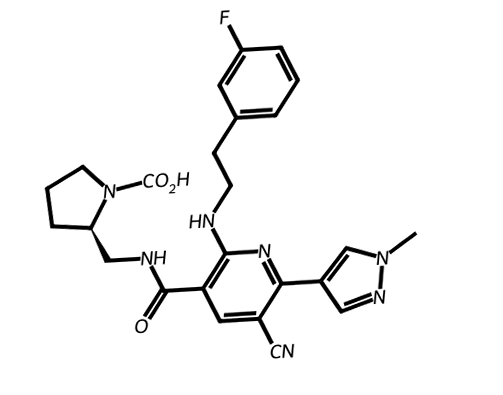 Cn1cc(-c2nc(NCCc3cccc(F)c3)c(C(=O)NC[C@H]3CCCN3C(=O)O)cc2C#N)cn1